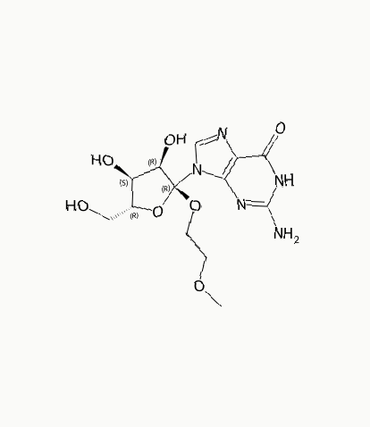 COCCO[C@@]1(n2cnc3c(=O)[nH]c(N)nc32)O[C@H](CO)[C@@H](O)[C@H]1O